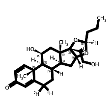 [2H]C1([2H])C[C@@H]2[C@H]([C@@H](O)C[C@@]3(C)[C@H]2C[C@H]2O[C@]([2H])(CCC)O[C@]23C(=O)CO)[C@@]2(C)C=CC(=O)C=C12